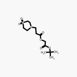 CC(C)(C)OC(=O)COC(=O)CCN1CCS(=O)(=O)CC1